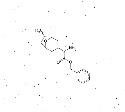 CC1CC2CC(C(N)C(=O)OCc3ccccc3)CC1O2